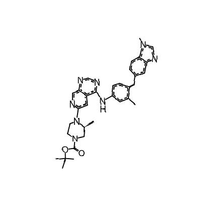 Cc1cc(Nc2ncnc3cnc(N4CCN(C(=O)OC(C)(C)C)C[C@@H]4C)cc23)ccc1Cc1ccc2c(c1)ncn2C